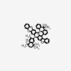 Cc1cc2c(cc1N1c3cc4c(cc3B3c5c1cc1oc6ccccc6c1c5-c1cccc5c1N3c1ccccc1C5(C)C)Sc1ccccc1O4)C(C)(C)CCC2(C)C